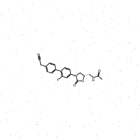 CC(=O)NC[C@H]1CN(c2ccc(-c3ccc(CC#N)cc3)c(F)c2)C(=O)O1